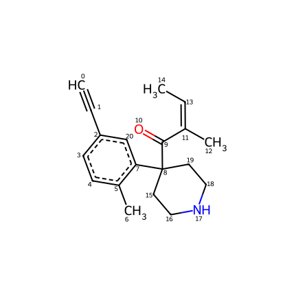 C#Cc1ccc(C)c(C2(C(=O)/C(C)=C\C)CCNCC2)c1